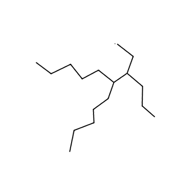 [CH2]CC(CCC)C(CCCCC)CCCCC